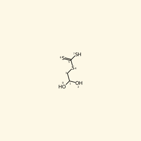 OC(O)CSC(=S)S